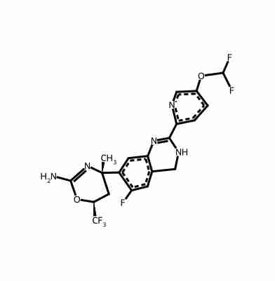 C[C@@]1(c2cc3c(cc2F)CNC(c2ccc(OC(F)F)cn2)=N3)C[C@@H](C(F)(F)F)OC(N)=N1